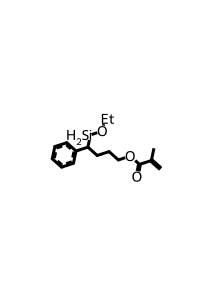 C=C(C)C(=O)OCCCC([SiH2]OCC)c1ccccc1